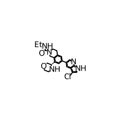 CCNC(=O)N1CCc2cc(-c3cnc4[nH]cc(Cl)c4c3)cc([C@@H]3COCCN3)c2C1